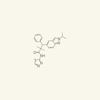 CC(C)n1cc2cc(C(c3ccccc3)C(C)(C)C(=O)Nc3nncs3)ccc2n1